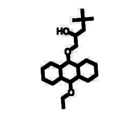 CCOC1C2CCCCC2C(OCC(O)CC(C)(C)C)C2CCCCC21